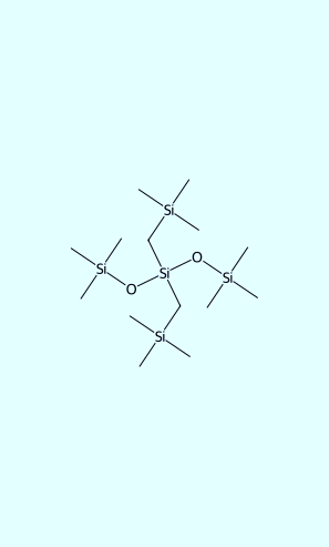 C[Si](C)(C)C[Si](C[Si](C)(C)C)(O[Si](C)(C)C)O[Si](C)(C)C